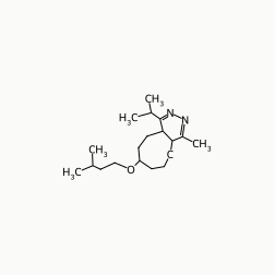 CC1=NN=C(C(C)C)C2CCC(OCCC(C)C)CCCC12